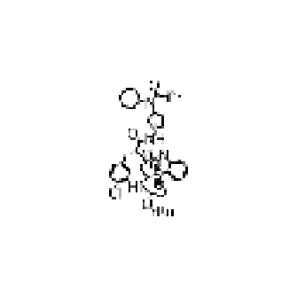 CC(C)C(=O)N(C1CCCCC1)[C@H]1CCN(NC(=O)[C@@H](Cc2ccc(Cl)cc2)NCC(NC(=O)OC(C)(C)C)S(=O)(=O)c2ccccc2[N+](=O)[O-])C1